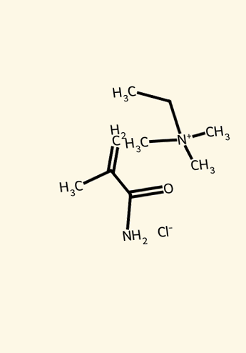 C=C(C)C(N)=O.CC[N+](C)(C)C.[Cl-]